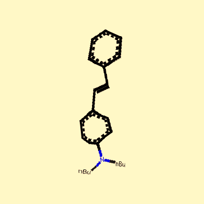 CCCCN(CCCC)c1ccc(C=Cc2ccccc2)cc1